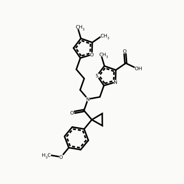 COc1ccc(C2(C(=O)N(CCCc3cc(C)c(C)o3)Cc3nc(C(=O)O)c(C)s3)CC2)cc1